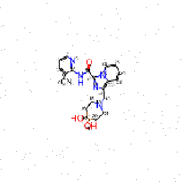 N#Cc1cccnc1NC(=O)c1nc(CN2CCS(O)(O)CC2)c2ccccn12